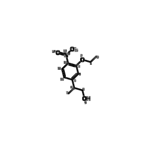 CCOc1cc([C](C)CO)ccc1[N+](=O)[O-]